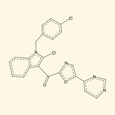 O=C(c1ncc(-c2ccncn2)o1)c1c(Cl)n(Cc2ccc(Cl)cc2)c2ccccc12